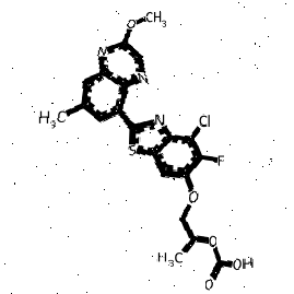 COc1cnc2c(-c3nc4c(Cl)c(F)c(OCC(C)OC(=O)O)cc4s3)cc(C)cc2n1